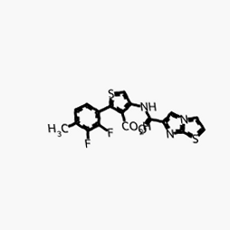 Cc1ccc(-c2scc(NC(=O)c3cn4ccsc4n3)c2C(=O)O)c(F)c1F